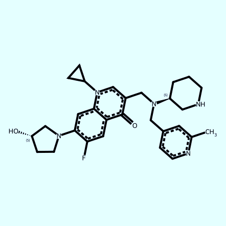 Cc1cc(CN(Cc2cn(C3CC3)c3cc(N4CC[C@H](O)C4)c(F)cc3c2=O)[C@H]2CCCNC2)ccn1